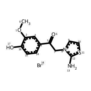 COc1cc(C(=O)C[n+]2ccsc2N)ccc1O.[Br-]